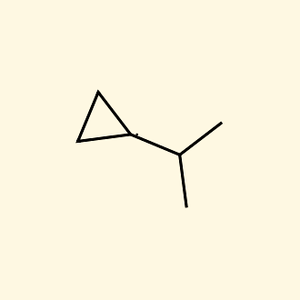 CC(C)[C]1CC1